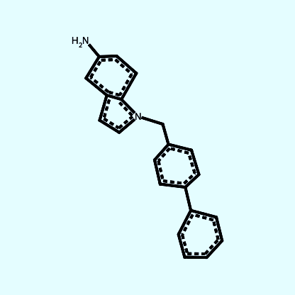 Nc1ccc2c(ccn2Cc2ccc(-c3ccccc3)cc2)c1